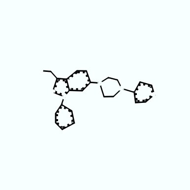 CCc1nn(-c2ccccc2)c2cc(N3CCN(c4ccncc4)CC3)ccc12.Cl